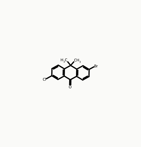 CC1(C)c2ccc(Cl)cc2C(=O)c2ccc(Br)cc21